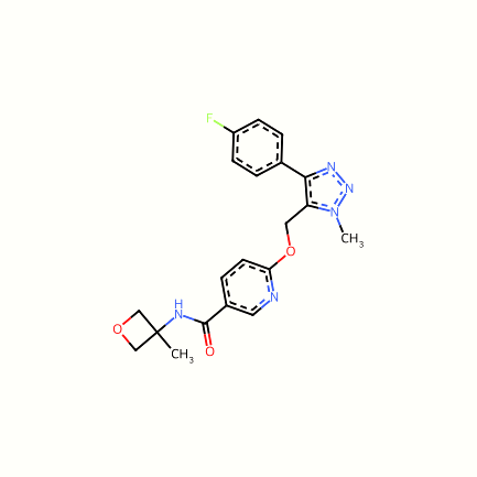 Cn1nnc(-c2ccc(F)cc2)c1COc1ccc(C(=O)NC2(C)COC2)cn1